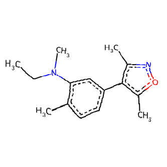 CCN(C)c1cc(-c2c(C)noc2C)ccc1C